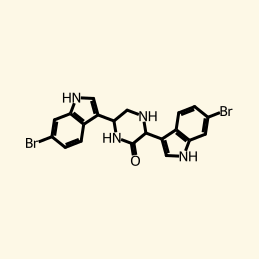 O=C1NC(c2c[nH]c3cc(Br)ccc23)CNC1c1c[nH]c2cc(Br)ccc12